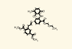 CCOCOC(=O)c1ccccc1Nc1c(Cl)ccc(C)c1Cl.COC(=O)c1ccc(C(=O)OC)c(CC=O)c1